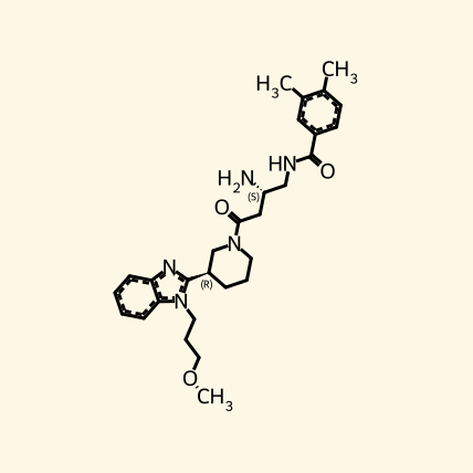 COCCCn1c([C@@H]2CCCN(C(=O)C[C@H](N)CNC(=O)c3ccc(C)c(C)c3)C2)nc2ccccc21